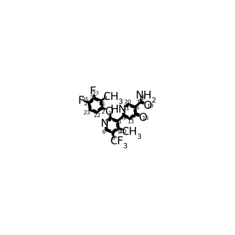 Cc1c(Oc2ncc(C(F)(F)F)c(C)c2-c2cc(=O)c(C(N)=O)c[nH]2)ccc(F)c1F